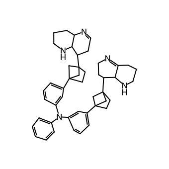 C1=NC2CCCNC2C(C23CCC(c4cccc(N(c5ccccc5)c5cccc(C67CCC(C8CCN=C9CCCNC98)(C6)C7)c5)c4)(C2)C3)C1